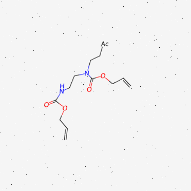 C=CCOC(=O)NCCN(CCC(C)=O)C(=O)OCC=C